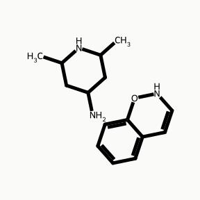 C1=Cc2ccccc2ON1.CC1CC(N)CC(C)N1